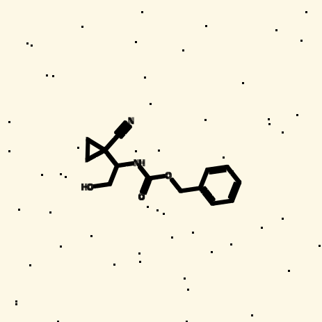 N#CC1(C(CO)NC(=O)OCc2ccccc2)CC1